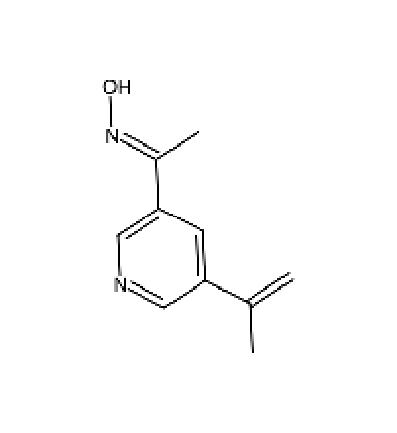 C=C(C)c1cncc(/C(C)=N/O)c1